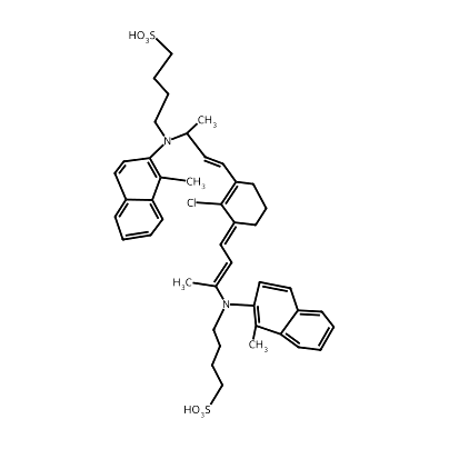 C/C(=C\C=C1/CCCC(/C=C/C(C)N(CCCCS(=O)(=O)O)c2ccc3ccccc3c2C)=C1Cl)N(CCCCS(=O)(=O)O)c1ccc2ccccc2c1C